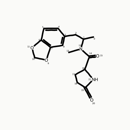 CC(Cc1ccc2c(c1)OCO2)N(C)C(=O)C1CCC(=O)N1